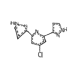 Clc1cc(-c2cc[nH]n2)nc(-c2cc[nH]n2)c1